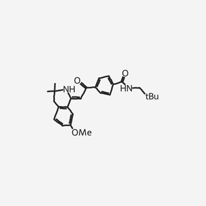 COc1ccc2c(c1)C(=CC(=O)c1ccc(C(=O)NCC(C)(C)C)cc1)NC(C)(C)C2